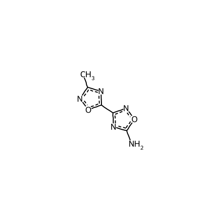 Cc1noc(-c2noc(N)n2)n1